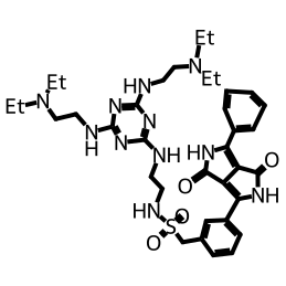 CCN(CC)CCNc1nc(NCCNS(=O)(=O)Cc2cccc(C3=C4C(=O)NC(c5ccccc5)=C4C(=O)N3)c2)nc(NCCN(CC)CC)n1